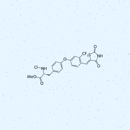 COC(=O)[C@H](Cc1ccc(Oc2ccc(/C=C3\SC(=O)NC3=O)c(C(F)(F)F)c2)cc1)NCl